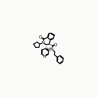 O=C(NCCc1ccccc1)[C@@H]1c2ccccc2C(=O)N(C2CCCC2)[C@H]1c1ccncc1